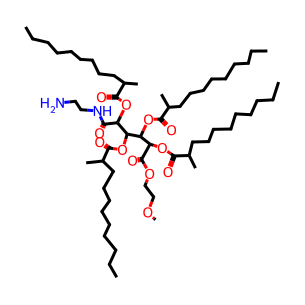 CCCCCCCCCC(C)C(=O)OC(C(=O)NCCN)C(OC(=O)C(C)CCCCCCCCC)C(OC(=O)C(C)CCCCCCCCC)C(OC(=O)C(C)CCCCCCCCC)C(=O)OCCOC